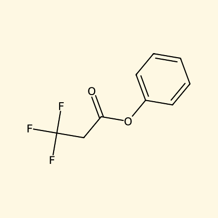 O=C(CC(F)(F)F)Oc1ccccc1